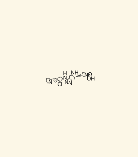 Nc1cc2c(Nc3ccc(OCc4ccccn4)c(Cl)c3)ncnc2cc1C#CC1CCN(C(=O)O)C1